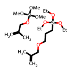 C=C(C)COCCC[Si](OCC)(OCC)OCC.C=C(C)CO[Si](OC)(OC)OC